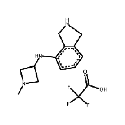 CN1CC(Nc2cccc3c2CNC3)C1.O=C(O)C(F)(F)F